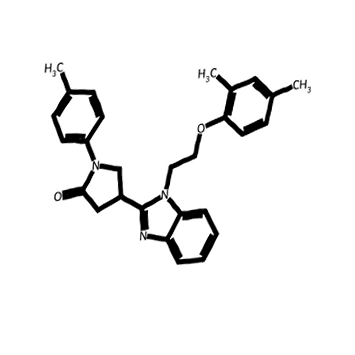 Cc1ccc(N2CC(c3nc4ccccc4n3CCOc3ccc(C)cc3C)CC2=O)cc1